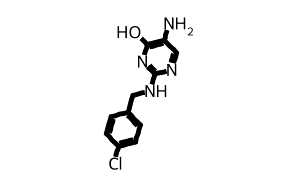 Nc1cnc(NCc2ccc(Cl)cc2)nc1O